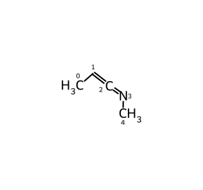 CC=C=NC